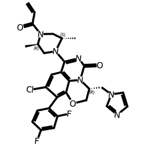 C=CC(=O)N1C[C@H](C)N(c2nc(=O)n3c4c(c(-c5ccc(F)cc5F)c(Cl)cc24)OC[C@H]3Cn2ccnc2)C[C@H]1C